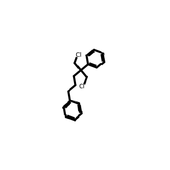 ClCC(CCl)(CCCc1ccccc1)c1ccccc1